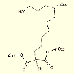 CCCCCCCCCCN(CCCO)CCCCCCC(CC)(C(=O)OCCCCCCCC)C(=O)OCCCCCCCC